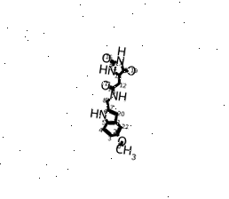 COc1ccc2[nH]c(CNC(=O)CC3NC(=O)NC3=O)cc2c1